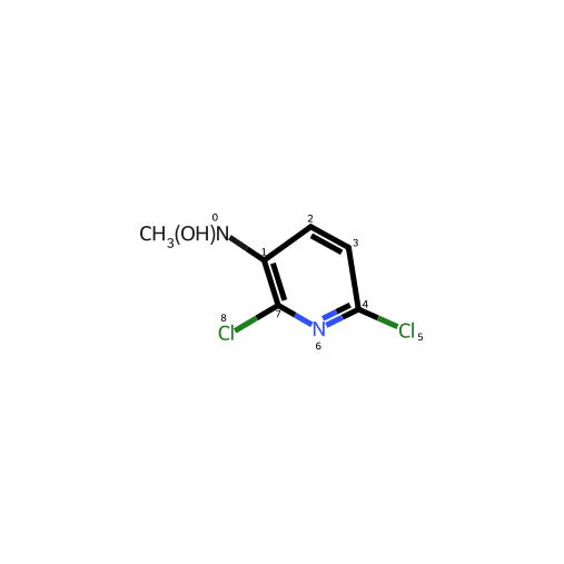 CN(O)c1ccc(Cl)nc1Cl